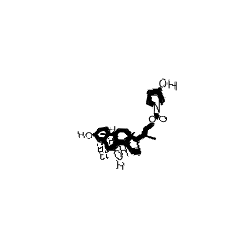 CC[C@H]1[C@@H](O)[C@@H]2[C@H](CC[C@]3(C)[C@@H]([C@H](C)CCOC(=O)N4CC[C@@H](O)C4)CC[C@@H]23)[C@@]2(C)CC[C@@H](O)C[C@@H]12